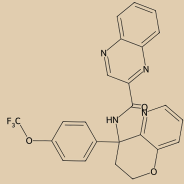 O=C(NC1(c2ccc(OC(F)(F)F)cc2)CCOc2cccnc21)c1cnc2ccccc2n1